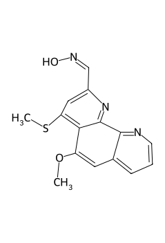 COc1cc2cccnc2c2nc(/C=N\O)cc(SC)c12